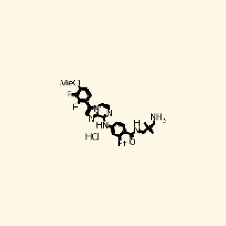 CCc1cc(Nc2nccn3c(-c4ccc(OC)c(F)c4F)cnc23)ccc1C(=O)NCC(C)(C)CN.Cl